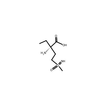 CC[C@](N)(CCS(C)(=N)=O)C(=O)O